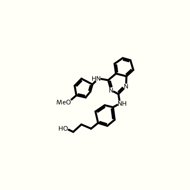 COc1ccc(Nc2nc(Nc3ccc(CCCO)cc3)nc3ccccc23)cc1